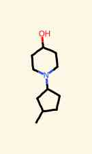 CC1CCC(N2CCC(O)CC2)C1